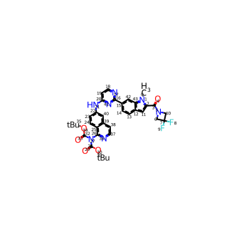 Cn1c(C(=O)N2CC(F)(F)C2)cc2ccc(-c3nccc(Nc4ccc5c(N(C(=O)OC(C)(C)C)C(=O)OC(C)(C)C)nccc5c4)n3)cc21